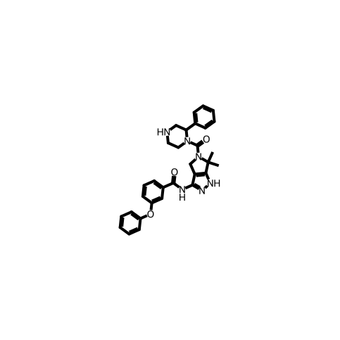 CC1(C)c2[nH]nc(NC(=O)c3cccc(Oc4ccccc4)c3)c2CN1C(=O)N1CCNCC1c1ccccc1